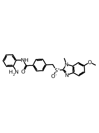 COc1ccc2nc([S+]([O-])Cc3ccc(C(=O)Nc4ccccc4N)cc3)n(C)c2c1